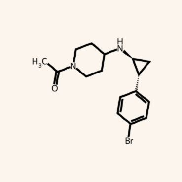 CC(=O)N1CCC(N[C@H]2C[C@@H]2c2ccc(Br)cc2)CC1